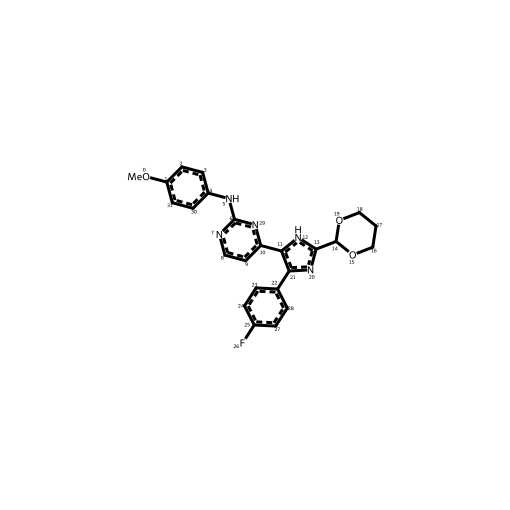 COc1ccc(Nc2nccc(-c3[nH]c(C4OCCCO4)nc3-c3ccc(F)cc3)n2)cc1